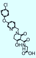 O=C(O)CNC(=O)C1=C(O)CCN(Cc2ccc(Oc3ccc(Cl)cc3)cn2)C1=O